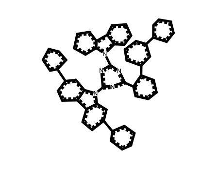 c1ccc(-c2cccc(-c3ccccc3-c3nc(-n4c5ccccc5c5ccccc54)nc(-n4c5cc(-c6ccccc6)ccc5c5ccc(-c6ccccc6)cc54)n3)c2)cc1